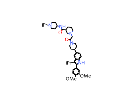 COc1ccc(-c2[nH]c3ccc(C4CCN(C(=O)CN5CCCC(C(=O)NC6CCN(C(C)C)CC6)C5)CC4)cc3c2C(C)C)cc1OC